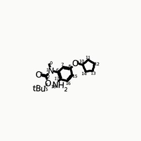 CN(C(=O)OC(C)(C)C)c1cc(OC2CCCC2)ccc1N